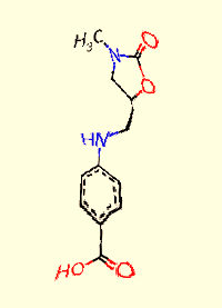 CN1C[C@H](CNc2ccc(C(=O)O)cc2)OC1=O